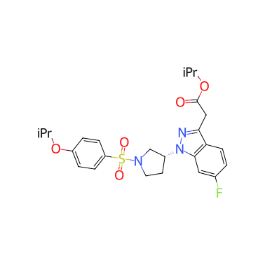 CC(C)OC(=O)Cc1nn([C@@H]2CCN(S(=O)(=O)c3ccc(OC(C)C)cc3)C2)c2cc(F)ccc12